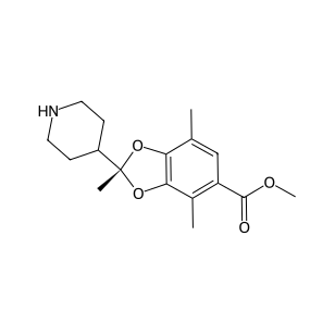 COC(=O)c1cc(C)c2c(c1C)O[C@](C)(C1CCNCC1)O2